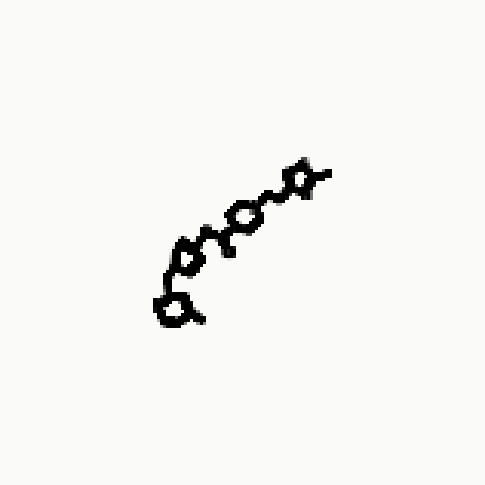 Cc1ccnc(Cc2ccc(OC(=O)N3CCN(CCc4csc(C)n4)CC3)cc2)c1